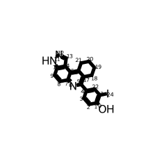 Oc1ccc(-c2nc3ccc4[nH]ncc4c3c3c2CCCC3)cc1I